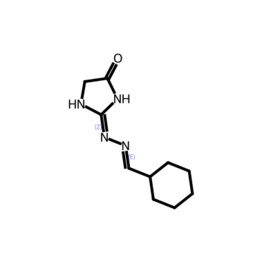 O=C1CN/C(=N/N=C/C2CCCCC2)N1